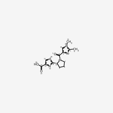 Cc1nc(C(=O)N2CCC[C@H]2c2nc(C(=O)O)cs2)cn1C